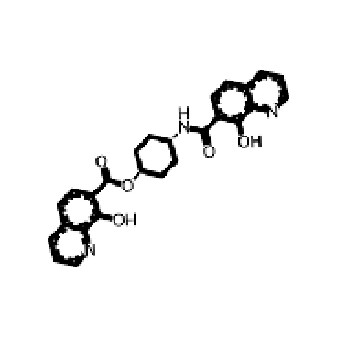 O=C(N[C@H]1CC[C@H](OC(=O)c2ccc3cccnc3c2O)CC1)c1ccc2cccnc2c1O